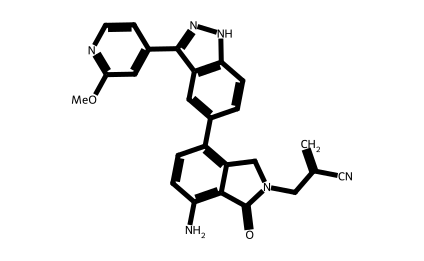 C=C(C#N)CN1Cc2c(-c3ccc4[nH]nc(-c5ccnc(OC)c5)c4c3)ccc(N)c2C1=O